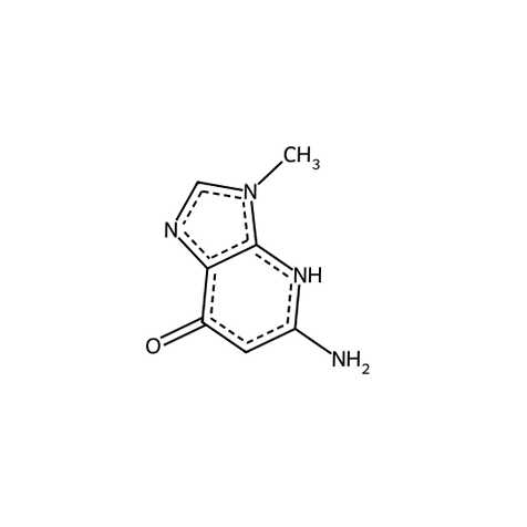 Cn1cnc2c(=O)cc(N)[nH]c21